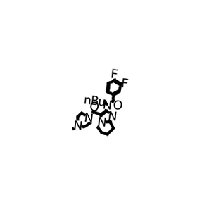 CCCCN(C(=O)c1ccc(F)c(F)c1)c1nc2n(c1C(=O)N1CCN(C)CC1)CCCC2